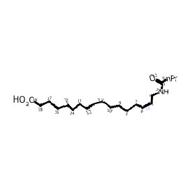 CCCC(=O)NC/C=C\CCCCCCCCCCCCC(=O)O